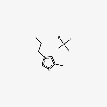 CCCn1cnc(C)c1.F[B-](F)(F)F